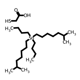 CCC[CH2][Sn]([CH2]CCC)([CH2]CCCCC(C)C)[CH2]CCCCC(C)C.O=C(O)CS